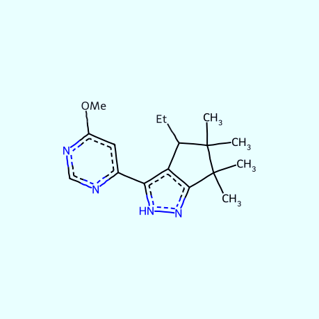 CCC1c2c(n[nH]c2-c2cc(OC)ncn2)C(C)(C)C1(C)C